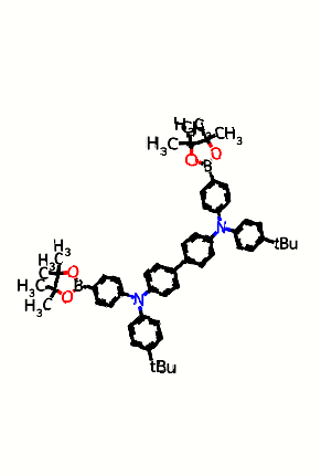 CC(C)(C)c1ccc(N(c2ccc(B3OC(C)(C)C(C)(C)O3)cc2)c2ccc(-c3ccc(N(c4ccc(B5OC(C)(C)C(C)(C)O5)cc4)c4ccc(C(C)(C)C)cc4)cc3)cc2)cc1